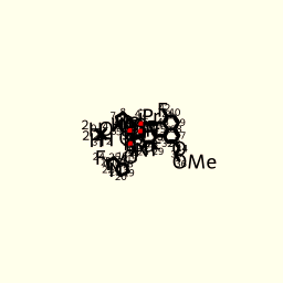 [2H]C([2H])([2H])OCC12CCC(CN(c3nc(OC[C@@]45CCCN4C[C@H](F)C5)nc4c(F)c(-c5cc(OCOC)cc6ccc(F)c(C#C[Si](C(C)C)(C(C)C)C(C)C)c56)nc(C)c34)C1)N2C(=O)OC(C)(C)C